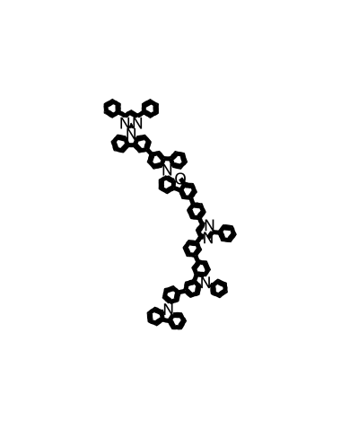 c1ccc(-c2cc(-c3ccccc3)nc(-n3c4ccccc4c4cc(-c5ccc6c(c5)c5ccccc5n6-c5cccc6c5oc5ccc(-c7ccc(-c8cc(-c9cccc(-c%10ccc%11c(c%10)c%10cc(-c%12cccc(-n%13c%14ccccc%14c%14ccccc%14%13)c%12)ccc%10n%11-c%10ccccc%10)c9)nc(-c9ccccc9)n8)cc7)cc56)ccc43)n2)cc1